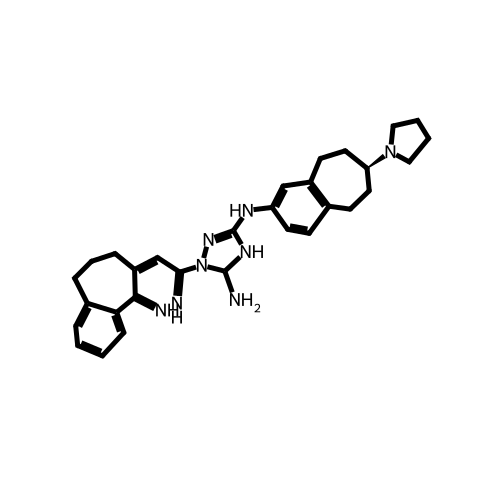 N=C1/C(=C\C(=N)N2N=C(Nc3ccc4c(c3)CC[C@@H](N3CCCC3)CC4)NC2N)CCCc2ccccc21